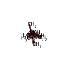 CCCCCCCCCCC(OCCCC)=C(OCCCC)C(OCCCCCCCCC)OC(OCCCCCCCCC)C(OCCCC)=C(CCCCCCCCCC)OCCCC